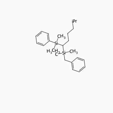 CC(C)CCCC([Si](C)(C)Cc1ccccc1)[Si](C)(C)c1ccccc1